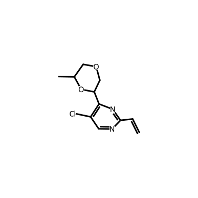 C=Cc1ncc(Cl)c(C2COCC(C)O2)n1